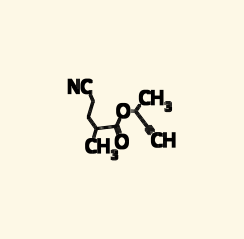 C#CC(C)OC(=O)C(C)CCC#N